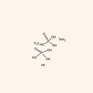 C.F.O=P(O)(O)O.O=P(O)(O)O.[SnH2]